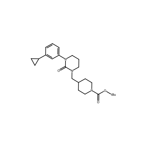 CC(C)(C)OC(=O)N1CCC(CN2CCCN(c3cccc(C4CC4)c3)C2=O)CC1